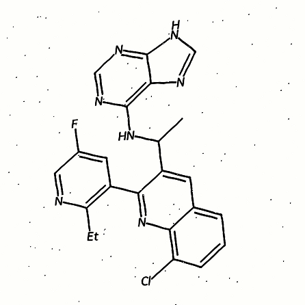 CCc1ncc(F)cc1-c1nc2c(Cl)cccc2cc1C(C)Nc1ncnc2[nH]cnc12